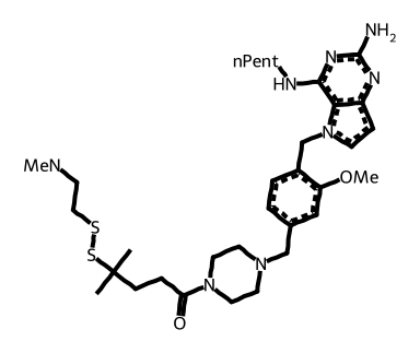 CCCCCNc1nc(N)nc2ccn(Cc3ccc(CN4CCN(C(=O)CCC(C)(C)SSCCNC)CC4)cc3OC)c12